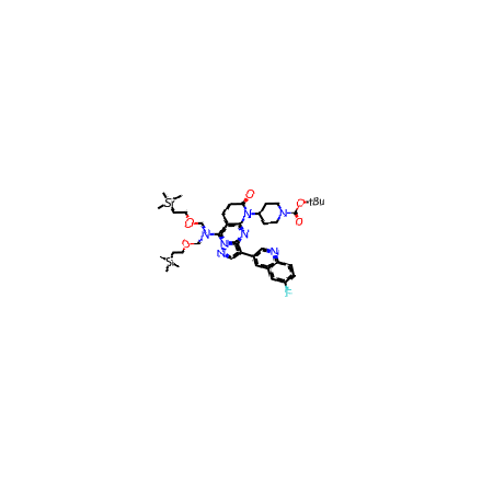 CC(C)(C)OC(=O)N1CCC(N2C(=O)CCc3c2nc2c(-c4cnc5ccc(F)cc5c4)cnn2c3N(COCC[Si](C)(C)C)COCC[Si](C)(C)C)CC1